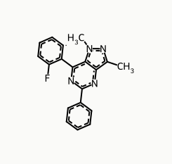 Cc1nn(C)c2c(-c3[c]cccc3F)nc(-c3ccccc3)nc12